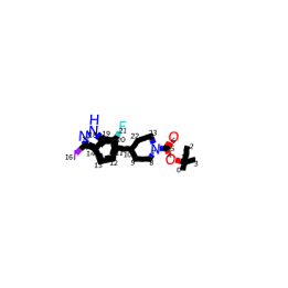 CC(C)(C)OC(=O)N1CCC(c2ccc3c(I)n[nH]c3c2F)CC1